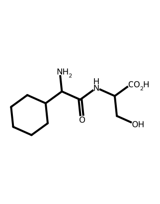 NC(C(=O)NC(CO)C(=O)O)C1CCCCC1